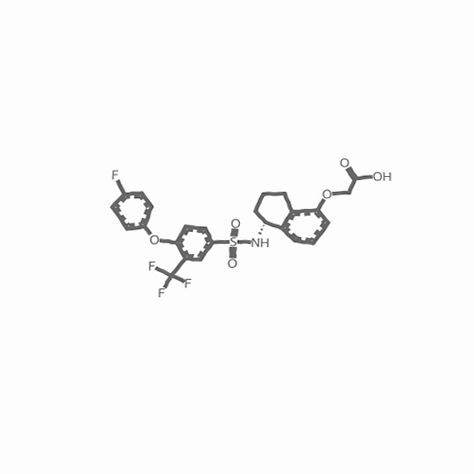 O=C(O)COc1cccc2c1CCC[C@H]2NS(=O)(=O)c1ccc(Oc2ccc(F)cc2)c(C(F)(F)F)c1